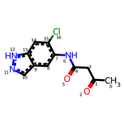 CC(=O)CC(=O)Nc1cc2cn[nH]c2cc1Cl